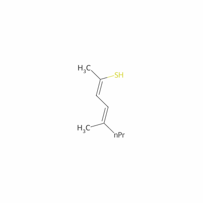 CCC/C(C)=C/C=C(/C)S